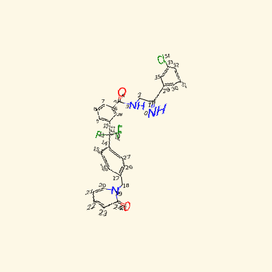 N=C(CNC(=O)c1cccc(C(F)(F)c2ccc(Cn3ccccc3=O)cc2)c1)c1cccc(Cl)c1